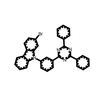 Brc1ccc2c3ccccc3n(-c3cccc(-c4nc(-c5ccccc5)nc(-c5ccccc5)n4)c3)c2c1